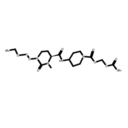 CN1C(=O)N(OSOCC(C)(C)C)CC[C@H]1C(=O)NC1CCN(C(=O)OCOC(=O)C(C)(C)C)CC1